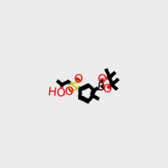 Cc1ccc(S(=O)(=O)CC(C)O)cc1B1OC(C)(C)C(C)(C)O1